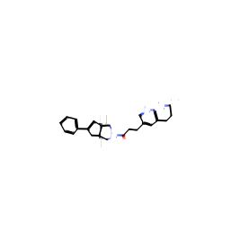 O=C1CCc2cc(CCC(=O)N3C[C@H]4CC(c5ccccc5)=C[C@H]4C3)cnc2N1